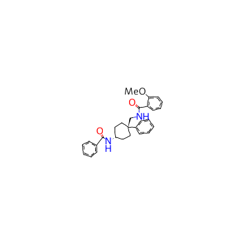 COc1ccccc1C(=O)NC[C@]1(c2ccccc2)CC[C@@H](NC(=O)c2ccccc2)CC1